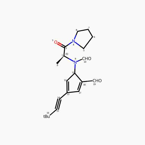 C[C@@H](C(=O)N1CCCC1)N(C=O)C1C=C(C#CC(C)(C)C)C=C1C=O